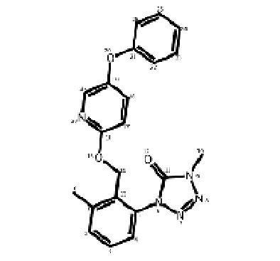 Cc1cccc(-n2nnn(C)c2=O)c1COc1ccc(Oc2ccccc2)cn1